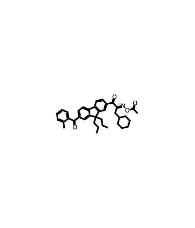 CCCC1(CCC)c2cc(C(=O)/C(CC3CCCCC3)=N/OC(C)=O)ccc2-c2ccc(C(=O)c3ccccc3C)cc21